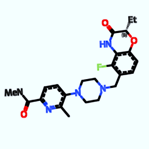 CC[C@@H]1Oc2ccc(CN3CCN(c4ccc(C(=O)NC)nc4C)CC3)c(F)c2NC1=O